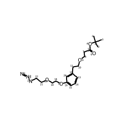 CC(C)(C)OC(=O)CCOCCc1cccc(OCCOCCN=[N+]=[N-])c1